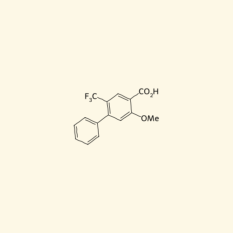 COc1cc(-c2ccccc2)c(C(F)(F)F)cc1C(=O)O